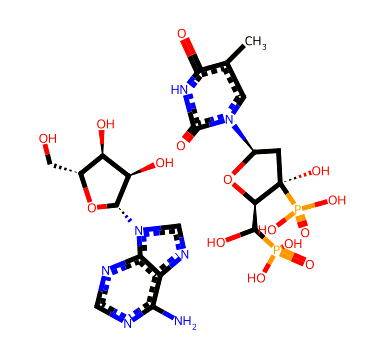 Cc1cn([C@H]2C[C@@](O)(P(=O)(O)O)[C@@H](C(O)P(=O)(O)O)O2)c(=O)[nH]c1=O.Nc1ncnc2c1ncn2[C@@H]1O[C@H](CO)[C@@H](O)[C@H]1O